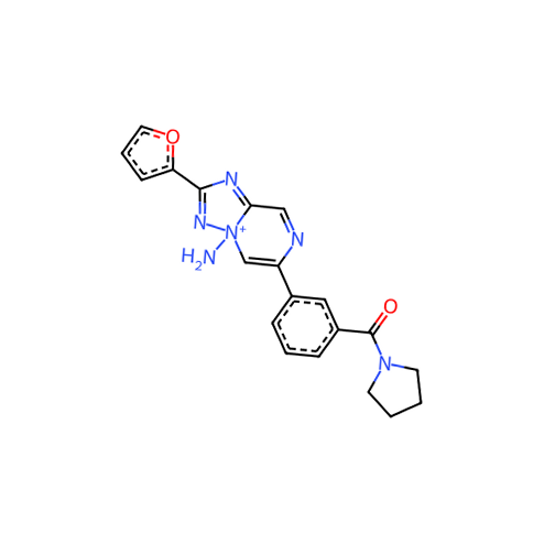 N[N+]12C=C(c3cccc(C(=O)N4CCCC4)c3)N=CC1=NC(c1ccco1)=N2